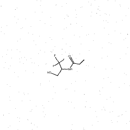 CCC(=O)NC(CO)C(F)(F)F